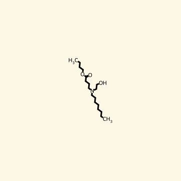 CCCCCCCCN(CCO)CCCC(=O)OCCCC